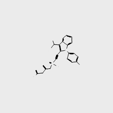 CC(C)c1c(C#CP(=O)(O)CC(=O)CC(=O)O)n(-c2ccc(F)cc2)c2ccccc12